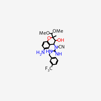 COC(OC)C1(C)Oc2ccc(N)cc2C(N(C#N)C(=N)NCc2cccc(C(F)(F)F)c2)C1O